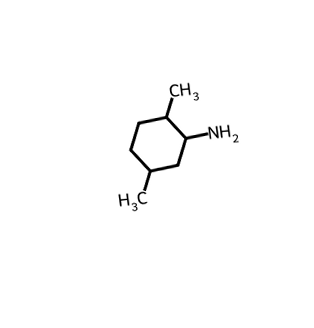 CC1CCC(C)C(N)C1